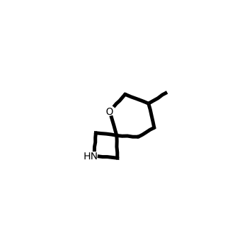 CC1CCC2(CNC2)OC1